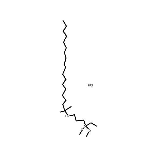 CCCCCCCCCCCCCCCCCC(C)(C)NCCC[Si](OC)(OC)OC.Cl